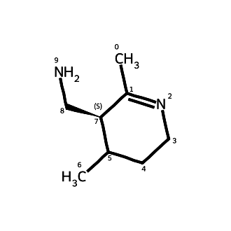 CC1=NCCC(C)[C@H]1CN